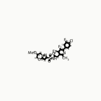 CCc1c(F)c(-c2ccc(Cl)c(F)c2)nc(C)c1CC(=O)NS(=O)(=O)c1cc2n(n1)CC(OC)CO2